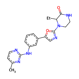 CCC1C(=O)NCCN1c1ncc(-c2cccc(Nc3nccc(C)n3)c2)o1